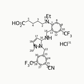 CCN(CCCCC(=O)O)c1ccc(C(F)(F)F)cc1CNC1C=CN(C)N1Cc1cc(C#N)cc(C(F)(F)F)c1.Cl